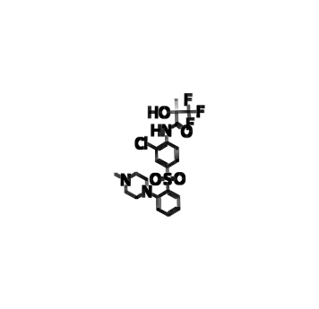 CN1CCN(c2ccccc2S(=O)(=O)c2ccc(NC(=O)[C@@](C)(O)C(F)(F)F)c(Cl)c2)CC1